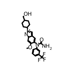 COc1cc2nn(C3CCC(CO)CC3)cc2cc1N(C(N)=O)c1cccc(C(F)(F)F)c1